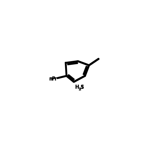 CCCc1ccc(C)cc1.S